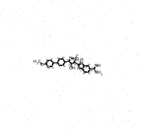 COc1ccc(-c2ccc(-c3nn(C)c(-c4nc5ccc(C(=N)N)cc5[nH]4)c3O)cc2)cn1